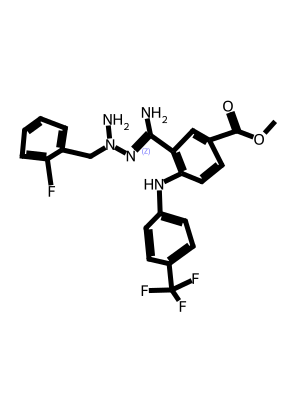 COC(=O)c1ccc(Nc2ccc(C(F)(F)F)cc2)c(/C(N)=N/N(N)Cc2ccccc2F)c1